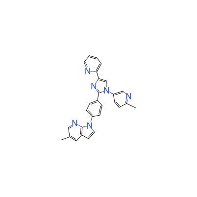 Cc1cnc2c(ccn2-c2ccc(-c3nc(-c4ccccn4)cn3-c3ccc(C)nc3)cc2)c1